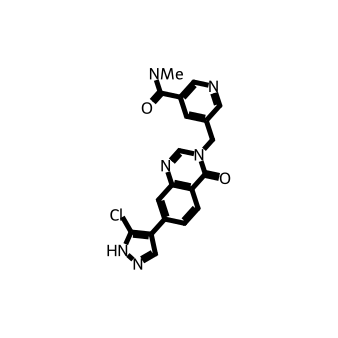 CNC(=O)c1cncc(Cn2cnc3cc(-c4cn[nH]c4Cl)ccc3c2=O)c1